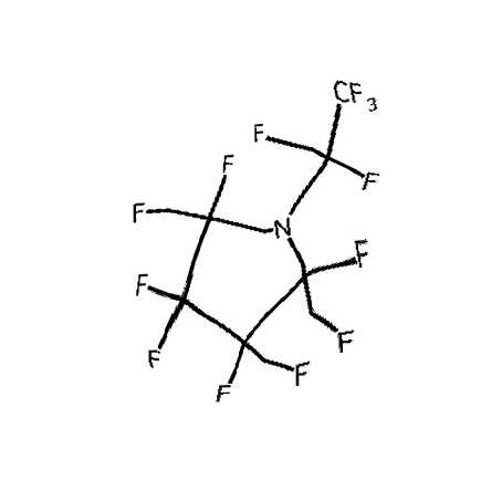 FC(F)(F)C(F)(F)N1C(F)(F)C(F)(F)C(F)(F)C1(F)F